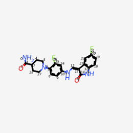 NC(=O)C1CCN(c2ccc(NC=C3C(=O)Nc4ccc(F)cc43)cc2F)CC1